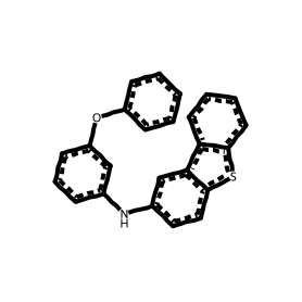 c1ccc(Oc2cccc(Nc3ccc4sc5ccccc5c4c3)c2)cc1